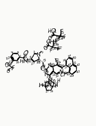 CN1C[C@H](NC(=O)c2cccc(S(=O)(=O)F)c2)C[C@H]1COc1nc(N2C[C@H]3CC[C@@H](C2)N3C(=O)O)c2cnc(-c3cccc4cccc(Cl)c34)c(F)c2n1.O=C(O)C(F)(F)F.O=C(O)C(F)(F)F